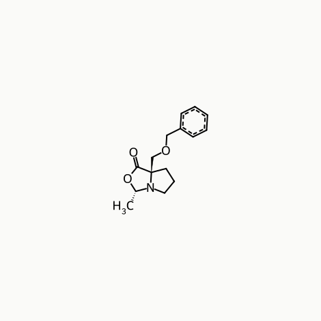 C[C@@H]1OC(=O)[C@]2(COCc3ccccc3)CCCN12